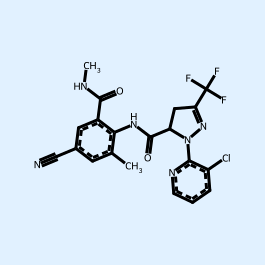 CNC(=O)c1cc(C#N)cc(C)c1NC(=O)C1CC(C(F)(F)F)=NN1c1ncccc1Cl